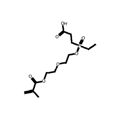 C=C(C)C(=O)OCCOCCOP(=O)(CC)CCC(=O)O